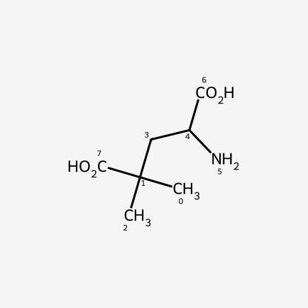 CC(C)(CC(N)C(=O)O)C(=O)O